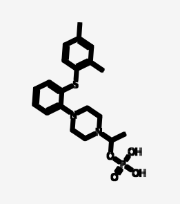 Cc1ccc(Sc2ccccc2N2CCN(C(C)OP(=O)(O)O)CC2)c(C)c1